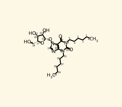 CCCCCCn1c(=O)c2c(ncn2O[C@@H]2O[C@H](CO)[C@@H](O)[C@H]2O)n(CCCCCC)c1=O